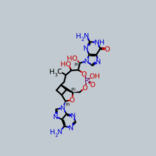 CC1CC23CC4C2[C@@]3(COP(=O)(O)OC([C@@H](O)n2cnc3c(=O)[nH]c(N)nc32)C1O)O[C@H]4n1cnc2c(N)ncnc21